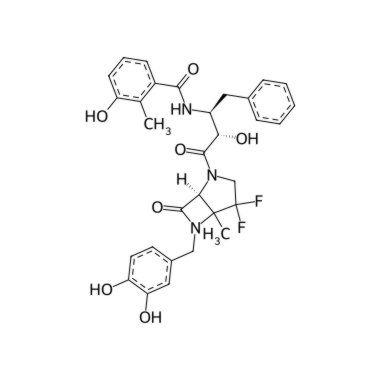 Cc1c(O)cccc1C(=O)N[C@@H](Cc1ccccc1)[C@H](O)C(=O)N1CC(F)(F)C2(C)[C@H]1C(=O)N2Cc1ccc(O)c(O)c1